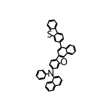 c1ccc(N(c2ccc3c(c2)oc2c4ccccc4c(-c4ccc5c(c4)sc4ccccc45)cc32)c2cccc3ccccc23)cc1